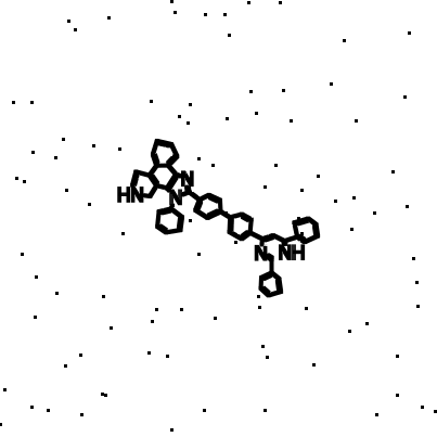 N=C(/C=C(\N=C\c1ccccc1)c1ccc(-c2ccc(-c3nc4c5ccccc5c5c(c4n3-c3ccccc3)CNC=C5)cc2)cc1)c1ccccc1